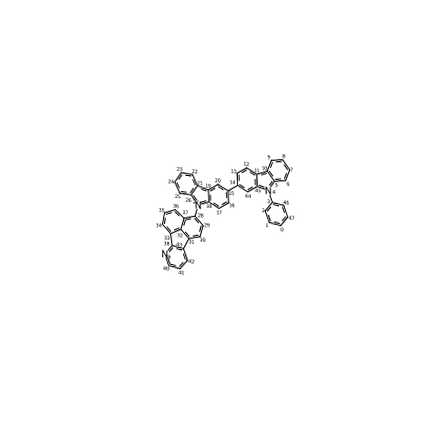 c1ccc(-n2c3ccccc3c3ccc(-c4ccc5c(c4)c4ccccc4n5-c4ccc5c6c(cccc46)-c4ncccc4-5)cc32)cc1